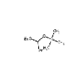 CC(C)COC(O[Si](C)(C)C)C(C)C